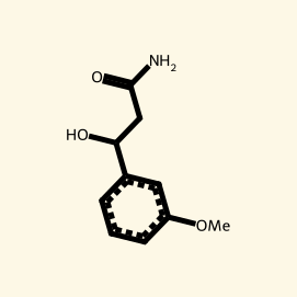 COc1cccc(C(O)CC(N)=O)c1